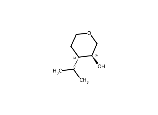 CC(C)[C@@H]1CCOC[C@H]1O